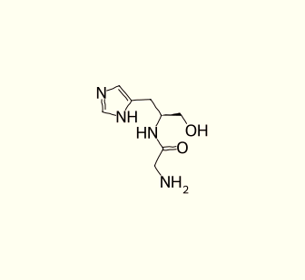 NCC(=O)N[C@H](CO)Cc1cnc[nH]1